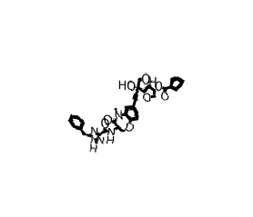 CN1C(=O)C(NC(=O)c2n[nH]c(Cc3ccccc3)n2)COc2ccc(C#C[C@@]3(O)CO[C@H]4C3OC[C@@H]4OC(=O)c3ccccc3)cc21